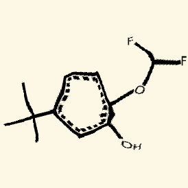 CC(C)(C)c1ccc(OC(F)F)c(O)c1